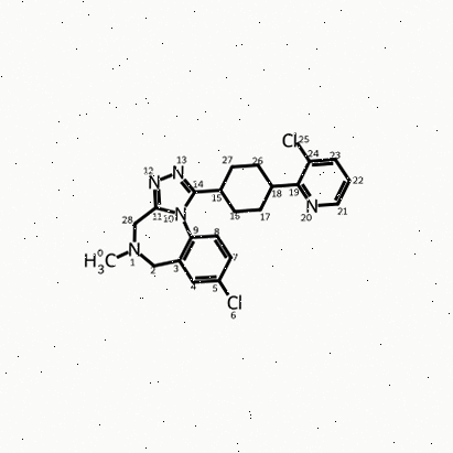 CN1Cc2cc(Cl)ccc2-n2c(nnc2C2CCC(c3ncccc3Cl)CC2)C1